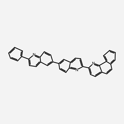 c1ccc(-c2ccc3cc(-c4ccc5nc(-c6ccc7ccc8ccccc8c7n6)ccc5c4)ccc3n2)cc1